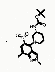 Cn1cc2c(N3CCC[C@@H](NC(=O)OC(C)(C)C)C3)c([N+](=O)[O-])cc(I)c2n1